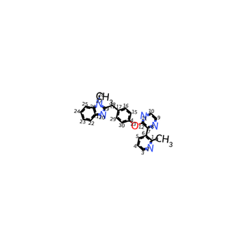 Cc1ncccc1-c1nccnc1Oc1ccc([C]c2nc3ccccc3n2C)cc1